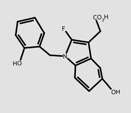 O=C(O)Cc1c(F)n(Cc2ccccc2O)c2ccc(O)cc12